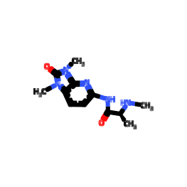 CN[C@@H](C)C(=O)Nc1ccc2c(n1)n(C)c(=O)n2C